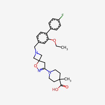 CCOc1cc(CN2CC3(CC(N4CCC(C)(C(=O)O)CC4)=NO3)C2)ccc1-c1ccc(F)cc1